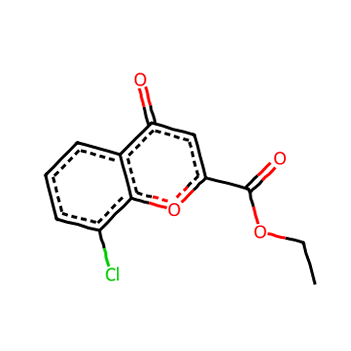 CCOC(=O)c1cc(=O)c2cccc(Cl)c2o1